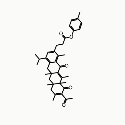 CC(=O)C1=C(C)CC2(C)CC3(C)Cc4c(C(C)C)cc(CCC(=O)Oc5ccc(C)cc5)c(C)c4C(=O)C3=C(C)C2(C)C1=O